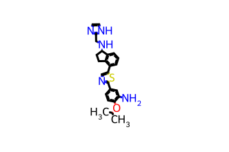 CC(C)Oc1ccc(-c2ncc(-c3cccc4c3CC[C@@H]4NCc3ncc[nH]3)s2)cc1N